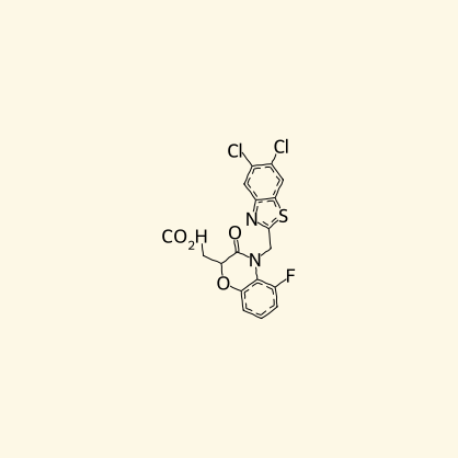 O=C(O)CC1Oc2cccc(F)c2N(Cc2nc3cc(Cl)c(Cl)cc3s2)C1=O